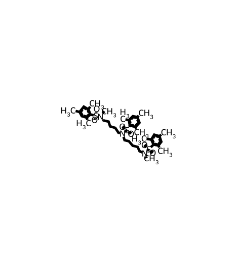 Cc1cc(C)c(S(=O)(=O)N(C)CCCCCN(CCCCCN(C)S(=O)(=O)c2c(C)cc(C)cc2C)S(=O)(=O)c2c(C)cc(C)cc2C)c(C)c1